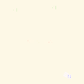 N#Cc1[c]ccc(S(=O)(=O)c2cc(Cl)cc(Cl)c2)c1